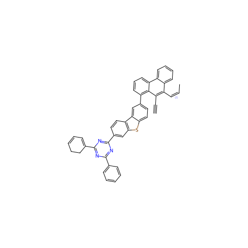 C#Cc1c(/C=C\C)c2ccccc2c2cccc(-c3ccc4sc5cc(-c6nc(C7=CC=CCC7)nc(-c7ccccc7)n6)ccc5c4c3)c12